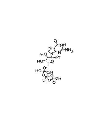 CC(C)[C@@]1(n2cnc3c(=O)[nH]c(N)nc32)O[C@H](COP(=O)(O)OP(=O)(O)OP(=O)(O)O)[C@@H](O)[C@H]1O